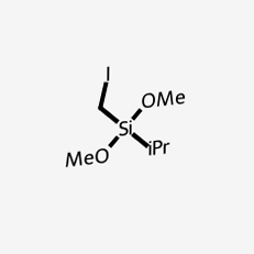 CO[Si](CI)(OC)C(C)C